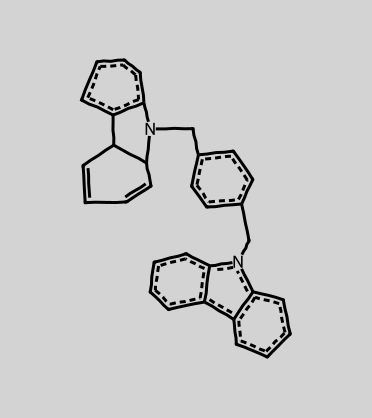 C1=CC2c3ccccc3N(Cc3ccc(Cn4c5ccccc5c5ccccc54)cc3)C2C=C1